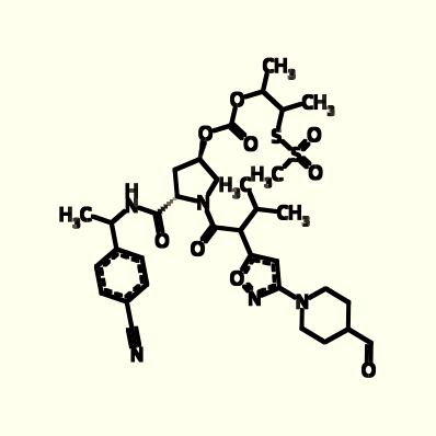 CC(NC(=O)[C@@H]1C[C@@H](OC(=O)OC(C)C(C)SS(C)(=O)=O)CN1C(=O)C(c1cc(N2CCC(C=O)CC2)no1)C(C)C)c1ccc(C#N)cc1